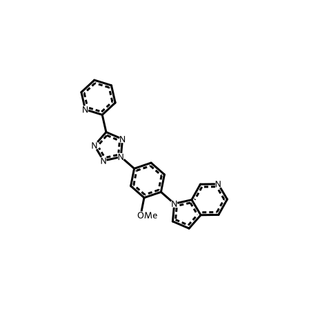 COc1cc(-n2nnc(-c3ccccn3)n2)ccc1-n1ccc2ccncc21